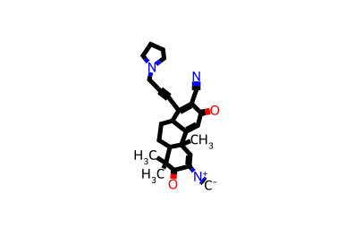 [C-]#[N+]C1=CC2(C)C3=CC(=O)C(C#N)=C(C#CCN4CCCC4)C3CCC2C(C)(C)C1=O